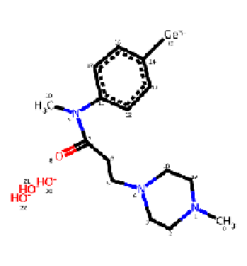 CN1CCN(CCC(=O)N(C)c2cc[c]([Ge+3])cc2)CC1.[OH-].[OH-].[OH-]